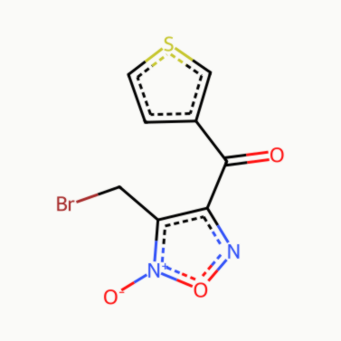 O=C(c1ccsc1)c1no[n+]([O-])c1CBr